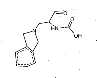 O=CC(CN1Cc2ccccc2C1)NC(=O)O